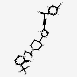 O=C(C#Cc1csc(C2CCN(C(=O)Cn3cccc(C(F)(F)F)c3=O)CC2)n1)c1ccc(Br)cc1